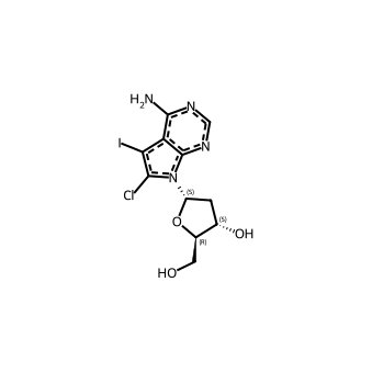 Nc1ncnc2c1c(I)c(Cl)n2[C@@H]1C[C@H](O)[C@@H](CO)O1